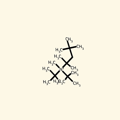 CC(C)(C)CC(C)(C)[N+](C)(C(C)(C)C)C(C)(C)C